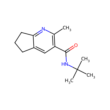 Cc1nc2c(cc1C(=O)NC(C)(C)C)CCC2